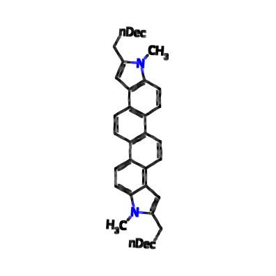 CCCCCCCCCCCc1cc2c3ccc4c(ccc5c4ccc4c5cc(CCCCCCCCCCC)n4C)c3ccc2n1C